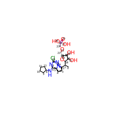 CC(c1ccc2c(NC3CCCC3)nc(Cl)nn12)C1O[C@H](COCP(=O)(O)O)[C@@H](O)[C@H]1O